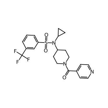 O=C(c1ccncc1)N1CCC(N(C2CC2)S(=O)(=O)c2cccc(C(F)(F)F)c2)CC1